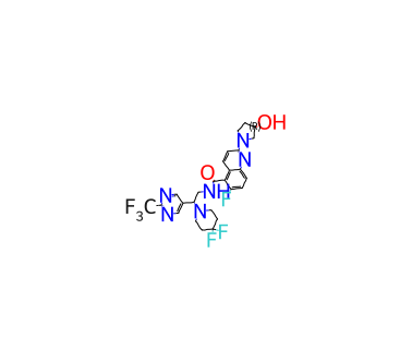 O=C(NCC(c1cnc(C(F)(F)F)nc1)N1CCC(F)(F)CC1)c1c(F)ccc2nc(N3CC[C@@H](O)C3)ccc12